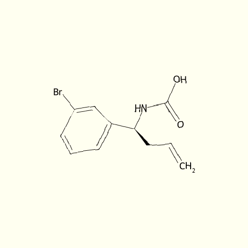 C=CC[C@H](NC(=O)O)c1cccc(Br)c1